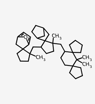 CC1(CC2CCC(C)(CC3CCC4(CCCC4)C(C)(C)C34CCCC4)C23CC2CCC3C2)CCCC12Cc1ccc2o1